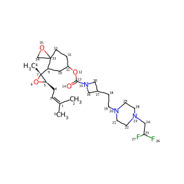 CC(C)=CC[C@H]1O[C@]1(C)C1CC(OC(=O)N2CC(CCN3CCN(CC(F)F)CC3)C2)CCC12CO2